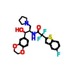 O=C(N[C@H](CN1CCCC1)[C@H](O)c1ccc2c(c1)OCCO2)C(F)(F)c1cc2cc(F)ccc2s1